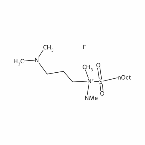 CCCCCCCCS(=O)(=O)[N+](C)(CCCN(C)C)NC.[I-]